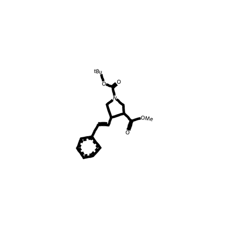 COC(=O)C1CN(C(=O)OC(C)(C)C)CC1C=Cc1ccccc1